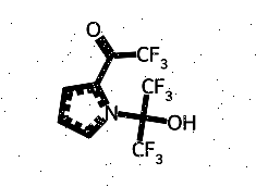 O=C(c1cccn1C(O)(C(F)(F)F)C(F)(F)F)C(F)(F)F